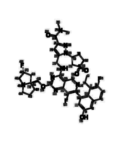 CCc1c(F)ccc2cc(O)cc(-c3ncc4c(NCc5cc(C(=O)N(C)C)nn5C5CCS(=O)(=O)C5)nc(OC[C@@]56CCCN5C[C@H](F)C6)nc4c3F)c12